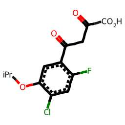 CC(C)Oc1cc(C(=O)CC(=O)C(=O)O)c(F)cc1Cl